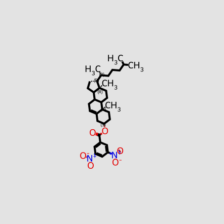 CC(C)CCC[C@@H](C)[C@H]1CCC2C3CC=C4C[C@@H](OC(=O)c5cc([N+](=O)[O-])cc([N+](=O)[O-])c5)CC[C@]4(C)C3CC[C@@]21C